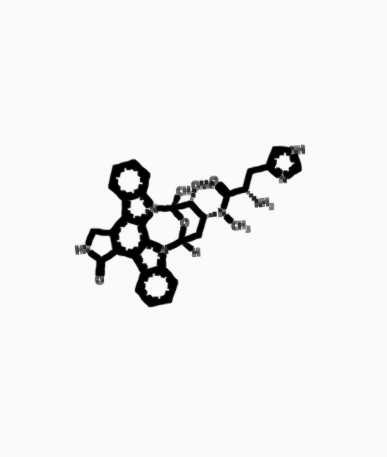 CO[C@@H]1[C@H](N(C)C(=O)[C@@H](N)Cc2c[nH]cn2)C[C@H]2O[C@]1(C)n1c3ccccc3c3c4c(c5c6ccccc6n2c5c31)C(=O)NC4